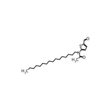 CCCCCCCCCCCCCCCCN(C(C)=O)c1ccc(C=O)s1